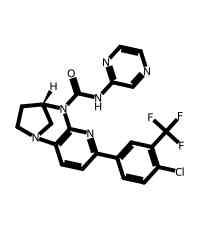 O=C(Nc1cnccn1)N1c2nc(-c3ccc(Cl)c(C(F)(F)F)c3)ccc2N2CC[C@H]1C2